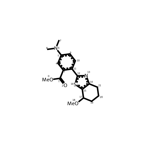 COC(=O)c1cc(N(C)C)ccc1-c1nc2c(s1)C(OC)CCC2